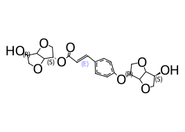 O=C(/C=C/c1ccc(O[C@@H]2COC3C2OC[C@@H]3O)cc1)O[C@H]1COC2C1OC[C@H]2O